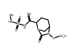 CC(C)(C)NS(=O)(=O)NC(=N)C1CCC2CN1C(=O)N2OS(=O)(=O)O